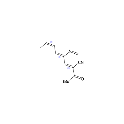 C=NC(=C\C=C/C)/C=C(\C#N)C(=O)C(C)(C)C